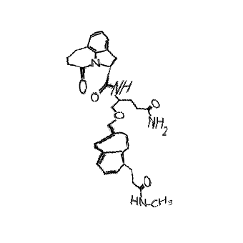 CNC(=O)CCc1cccc2cc(COC[C@H](CCC(N)=O)NC(=O)[C@@H]3Cc4cccc5c4N3C(=O)CCC5)ccc12